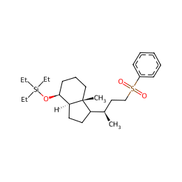 CC[Si](CC)(CC)O[C@H]1CCC[C@]2(C)C([C@H](C)CCS(=O)(=O)c3ccccc3)CC[C@@H]12